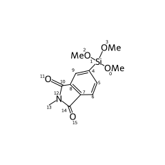 CO[Si](OC)(OC)c1ccc2c(c1)C(=O)N(C)C2=O